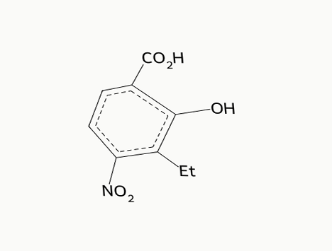 CCc1c([N+](=O)[O-])ccc(C(=O)O)c1O